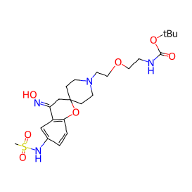 CC(C)(C)OC(=O)NCCOCCN1CCC2(CC1)CC(=NO)c1cc(NS(C)(=O)=O)ccc1O2